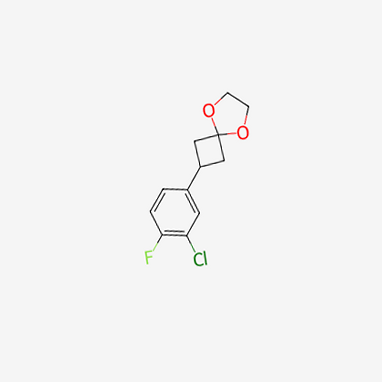 Fc1ccc(C2CC3(C2)OCCO3)cc1Cl